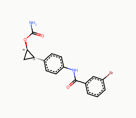 NC(=O)O[C@@H]1C[C@H]1c1ccc(NC(=O)c2cccc(Br)c2)cc1